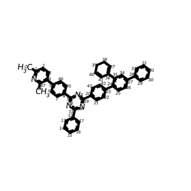 Cc1ccc(-c2ccc(-c3nc(-c4ccccc4)nc(-c4ccc(-c5ccc(-c6ccccc6)cc5C5=CCCC=C5)cc4)n3)cc2)c(C)n1